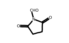 O=CN1C(=O)CCC1=O